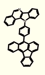 c1ccc2c(c1)-c1cccc3c(-c4ccc(-n5c6ccccc6c6ncc7ccccc7c65)cc4)c4ccccc4c-2c13